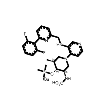 C[C@H]1CN(c2ccncc2NCc2cccc(-c3c(F)cccc3F)n2)C[C@@H](NC(=O)O)[C@@H]1O[Si](C)(C)C(C)(C)C